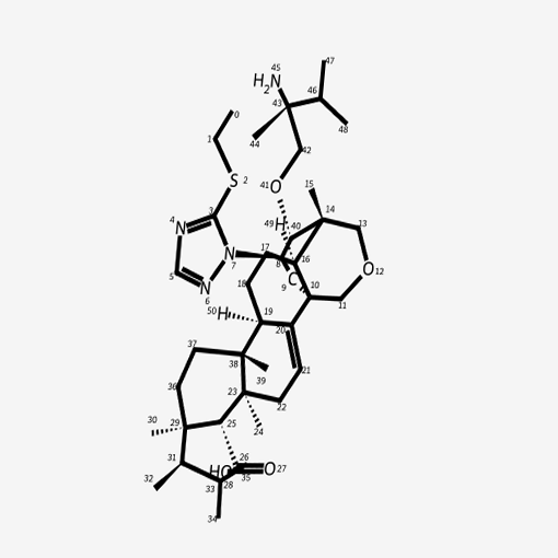 CCSc1ncnn1[C@@H]1C[C@@]23COC[C@](C)([C@@H]2CC[C@H]2C3=CC[C@@]3(C)[C@H](C(=O)O)[C@@](C)([C@H](C)C(C)C)CC[C@]23C)[C@H]1OC[C@](C)(N)C(C)C